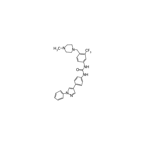 CN1CCN(Cc2ccc(NC(=O)Nc3ccc(-c4cnn(-c5ccccc5)c4)cc3)cc2C(F)(F)F)CC1